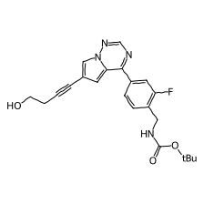 CC(C)(C)OC(=O)NCc1ccc(-c2ncnn3cc(C#CCCO)cc23)cc1F